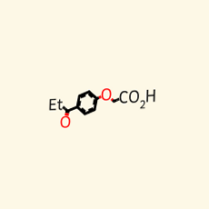 CCC(=O)c1ccc(OCC(=O)O)cc1